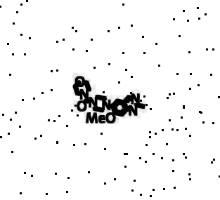 COc1cc2nc(C)ncc2cc1N1CCN(C(=O)N2CCOCC2)CC1